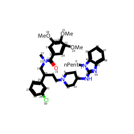 CCCCCn1c(NC2CCN(CCC(CN(C)C(=O)c3cc(OC)c(OC)c(OC)c3)c3cccc(Cl)c3)CC2)nc2ccccc21